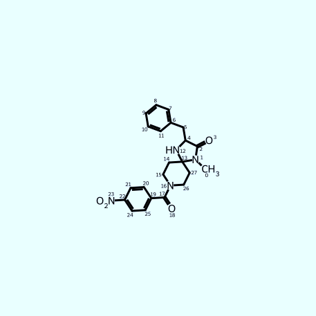 CN1C(=O)C(Cc2ccccc2)NC12CCN(C(=O)c1ccc([N+](=O)[O-])cc1)CC2